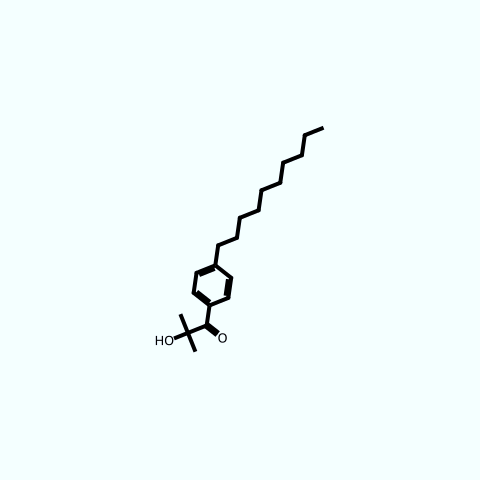 CCCCCCCCCCc1ccc(C(=O)C(C)(C)O)cc1